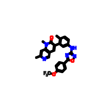 Cc1cc2c(cn1)cc(-c1cc(Nc3noc(-c4ccc(OC(F)(F)F)cc4)n3)ccc1C)c(=O)n2C